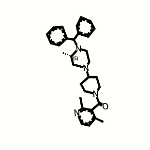 Cc1ccnc(C)c1C(=O)N1CCC(N2CCN(C(c3ccccc3)c3ccccc3)[C@@H](C)C2)CC1